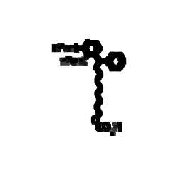 CCCCCc1cccc(C(CCCCCCCCOC(=O)O)c2ccccc2)c1CCCCC